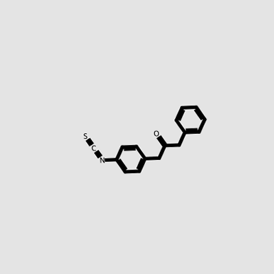 O=C(Cc1ccccc1)Cc1ccc(N=C=S)cc1